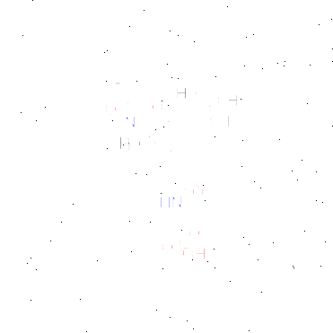 CC(C)(C)c1ccc(S(C)(C(=O)N(c2ccccc2)c2ccc3cccc-3o2)c2ccc(C(=O)NCCS(=O)(=O)O)cc2)cc1